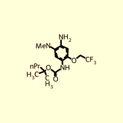 CCCC(C)(C)OC(=O)Nc1cc(NC)c(N)cc1OCC(F)(F)F